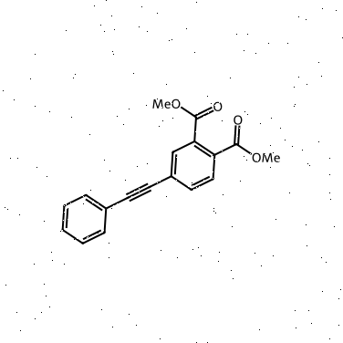 COC(=O)c1ccc(C#Cc2ccccc2)cc1C(=O)OC